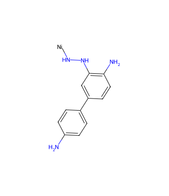 Nc1ccc(-c2ccc(N)c(N[NH][Ni])c2)cc1